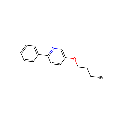 CC(C)CCCOc1c[c]c(-c2ccccc2)nc1